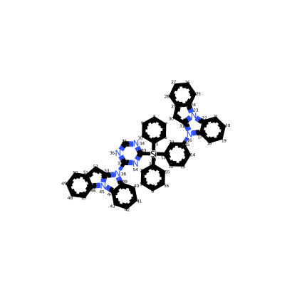 c1ccc([Si](c2ccccc2)(c2cccc(-n3c4ccccc4n4c5ccccc5cc34)c2)c2ncnc(-n3c4ccccc4n4c5ccccc5cc34)n2)cc1